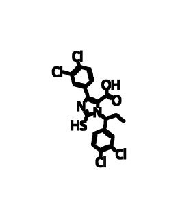 CCC(c1ccc(Cl)c(Cl)c1)n1c(S)nc(-c2ccc(Cl)c(Cl)c2)c1C(=O)O